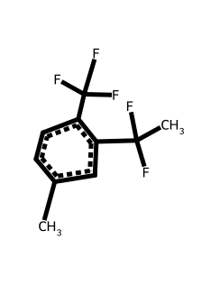 Cc1ccc(C(F)(F)F)c(C(C)(F)F)c1